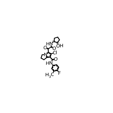 Cc1cc(NC(=O)c2c(Cl)c(C(=O)C(=O)N[C@H]3CCC[C@H]3O)n3c2CCC3)ccc1F